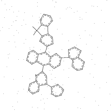 CC1(C)c2ccccc2-c2ccc(-c3c4ccccc4c(-c4cc(-c5ccccc5)c5ccccc5n4)c4ccc(-c5cccc6ccccc56)cc34)cc21